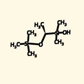 C[C@@H](O[Si](C)(C)C)[Si](C)(C)O